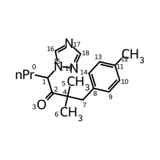 CCCC(C(=O)C(C)(C)Cc1ccc(C)cc1)n1cncn1